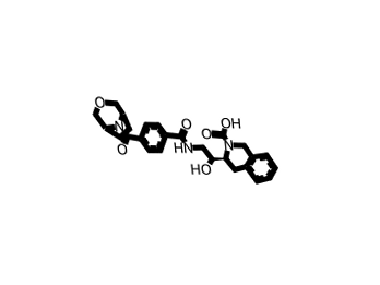 O=C(NCC(O)[C@@H]1Cc2ccccc2CN1C(=O)O)c1ccc(C(=O)N2C3CCC2COC3)cc1